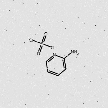 Nc1ccccn1.O=S(=O)(Cl)Cl